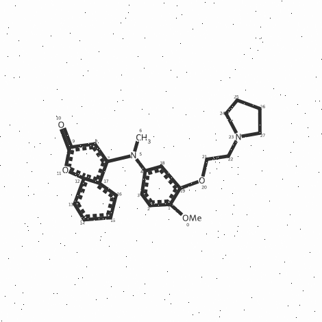 COc1ccc(N(C)c2cc(=O)oc3ccccc23)cc1OCCN1CCCC1